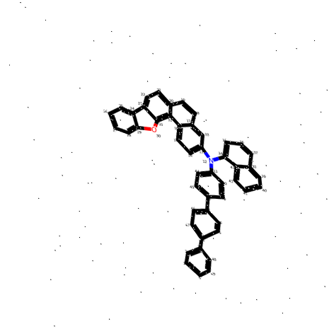 c1ccc(-c2ccc(-c3ccc(N(c4ccc5c(ccc6ccc7c8ccccc8oc7c65)c4)c4cccc5ccccc45)cc3)cc2)cc1